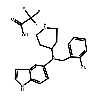 N#Cc1ccccc1CN(c1ccc2[nH]ccc2c1)C1CCNCC1.O=C(O)C(F)(F)F